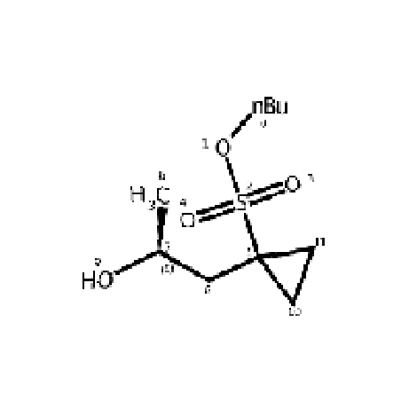 CCCCOS(=O)(=O)C1(C[C@H](C)O)CC1